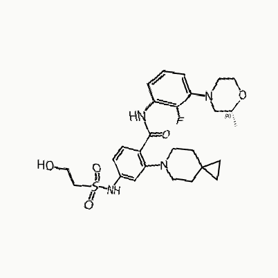 C[C@@H]1CN(c2cccc(NC(=O)c3ccc(NS(=O)(=O)CCO)cc3N3CCC4(CC3)CC4)c2F)CCO1